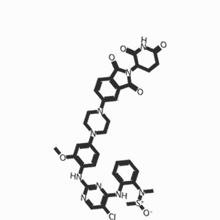 COc1cc(N2CCN(c3[c]c4c(cc3)C(=O)N(C3CCC(=O)NC3=O)C4=O)CC2)ccc1Nc1ncc(Cl)c(Nc2ccccc2N(C)[S+](C)[O-])n1